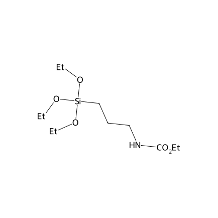 CCOC(=O)NCCC[Si](OCC)(OCC)OCC